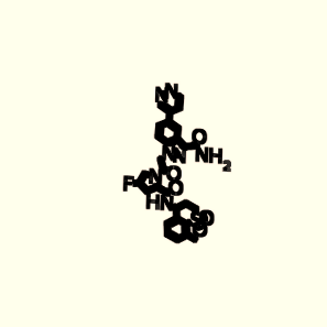 Cc1cccc2c1S(=O)(=O)CCC2NC(=O)C1CC(F)CN1C(=O)Cn1nc(C(N)=O)c2cc(-c3ccnnc3)ccc21